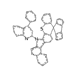 c1ccc(-c2cc(-n3c4ccc5ccccc5c4c4ccc5c(c43)Sc3ccccc3C53c4ccccc4-c4ccccc43)nc3ccccc23)cc1